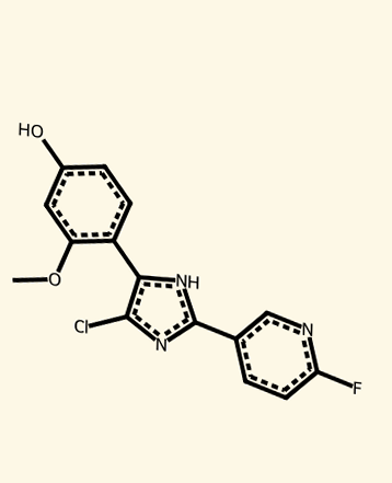 COc1cc(O)ccc1-c1[nH]c(-c2ccc(F)nc2)nc1Cl